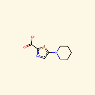 O=C(O)c1ncc(N2CCCCC2)s1